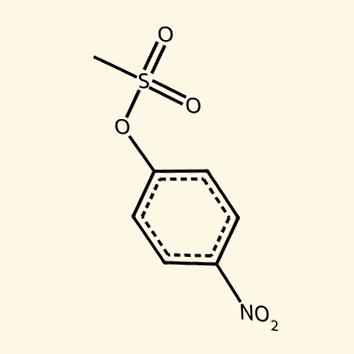 CS(=O)(=O)Oc1ccc([N+](=O)[O-])cc1